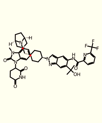 Cn1c(=O)n(C2CCC(=O)NC2=O)c2cccc(N3[C@@H]4CC[C@H]3CN(C[C@H]3CC[C@H](n5cc6cc(NC(=O)c7cccc(C(F)(F)F)n7)c(C(C)(C)O)cc6n5)CC3)C4)c21